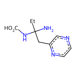 CCC(N)(Cc1cnccn1)NC(=O)O